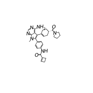 Cn1c(-c2ccc(NC(=O)C3=CCC3)cc2)c(C2=CC[C@@H](C(=O)N3CCCC3)CC2)c2c(N)ncnc21